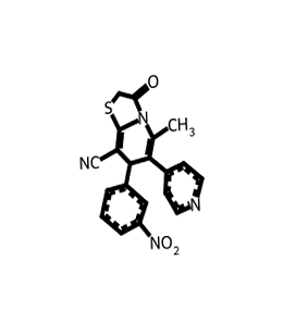 CC1=C(c2ccncc2)C(c2cccc([N+](=O)[O-])c2)C(C#N)=C2SCC(=O)N12